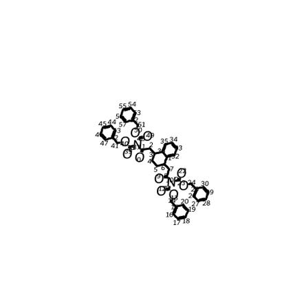 O=C(CC1CCC(CC(=O)N(C(=O)OCc2ccccc2)C(=O)OCc2ccccc2)c2ccccc21)N(C(=O)OCc1ccccc1)C(=O)OCc1ccccc1